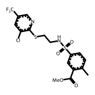 COC(=O)c1cc(S(=O)(=O)NCCSc2ncc(C(F)(F)F)cc2Cl)ccc1C